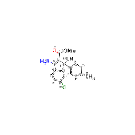 COC(=O)C1=C(N)c2ccc(Cl)cc2C1(C#N)c1ccc(C)cc1